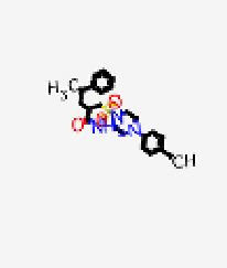 C#Cc1ccc(N2CCN(S(=O)(=O)CC(C[C@H](C)c3ccccc3)C(N)=O)CC2)cc1